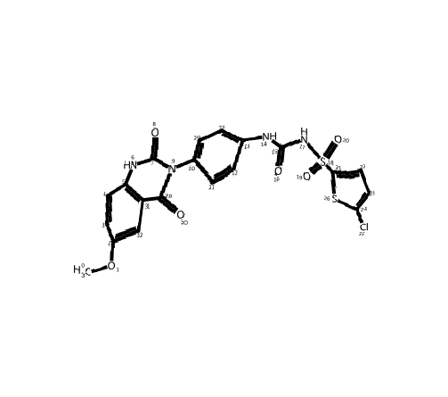 COc1ccc2[nH]c(=O)n(-c3ccc(NC(=O)NS(=O)(=O)c4ccc(Cl)s4)cc3)c(=O)c2c1